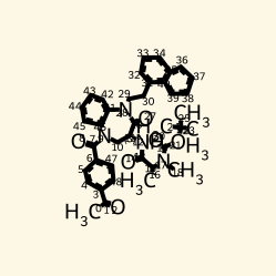 CC(=O)c1ccc(C(=O)N2C[C@H](NC(=O)C(C)N(C)C(=O)OC(C)(C)C)C(=O)N(CCc3cccc4ccccc34)c3ccccc32)cc1